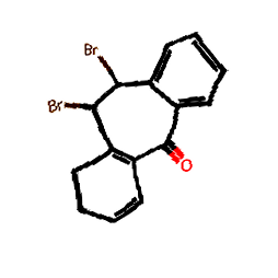 O=C1C2=C(CCC=C2)C(Br)C(Br)c2ccccc21